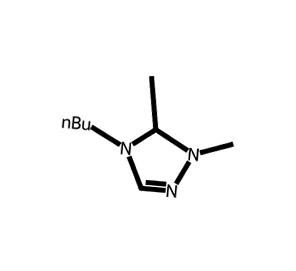 CCCCN1C=NN(C)C1C